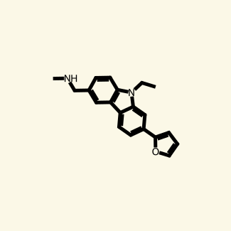 CCn1c2ccc(CNC)cc2c2ccc(-c3ccco3)cc21